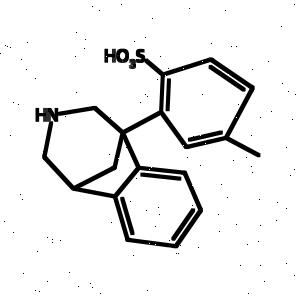 Cc1ccc(S(=O)(=O)O)c(C23CNCC(C2)c2ccccc23)c1